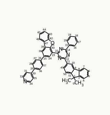 CC1(C)c2ccccc2-c2cc(-c3nc(-c4ccccc4)nc(-c4cc(-c5ccc(-c6ccncc6)cc5)cc5c4oc4ccccc45)n3)ccc21